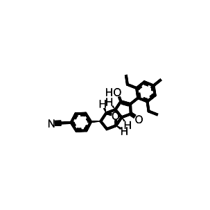 CCc1cc(C)cc(CC)c1C1=C(O)[C@@H]2[C@@H]3O[C@@H](C[C@H]3c3ccc(C#N)cc3)[C@@H]2C1=O